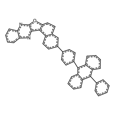 c1ccc(-c2c3ccccc3c(-c3ccc(-c4ccc5c(ccc6oc7nc8ccccc8nc7c65)c4)cc3)c3ccccc23)cc1